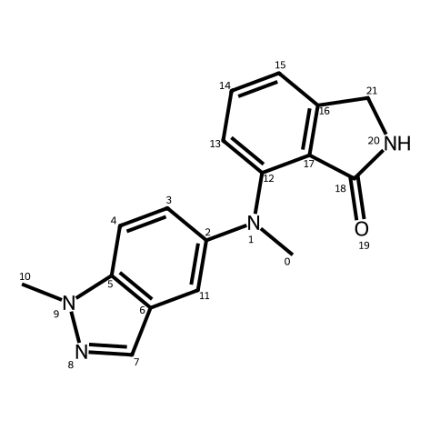 CN(c1ccc2c(cnn2C)c1)c1cccc2c1C(=O)NC2